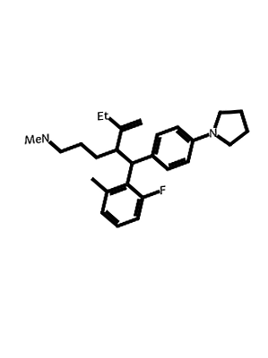 C=C(CC)C(CCCNC)C(c1ccc(N2CCCC2)cc1)c1c(C)cccc1F